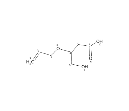 C=CCOC(CO)CC(=O)O